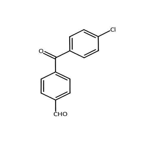 O=Cc1ccc(C(=O)c2ccc(Cl)cc2)cc1